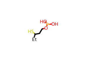 CCC(S)CCOP(O)O